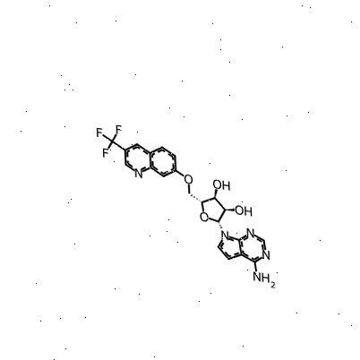 Nc1ncnc2c1ccn2[C@@H]1O[C@H](COc2ccc3cc(C(F)(F)F)cnc3c2)[C@@H](O)[C@H]1O